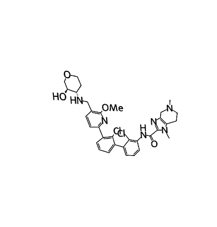 COc1nc(-c2cccc(-c3cccc(NC(=O)c4nc5c(n4C)CCN(C)C5)c3Cl)c2Cl)ccc1CN[C@H]1CCOC[C@@H]1O